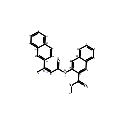 COC(=O)c1cc2ccccc2cc1NC(=O)/C=C(/C)c1ccc2ccccc2c1